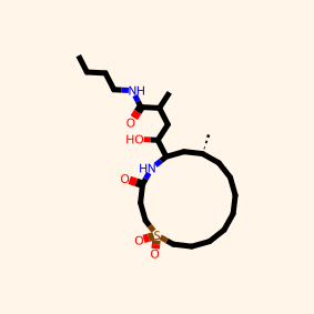 CCCCNC(=O)C(C)CC(O)C1C[C@H](C)CCCCCCCCS(=O)(=O)CCC(=O)N1